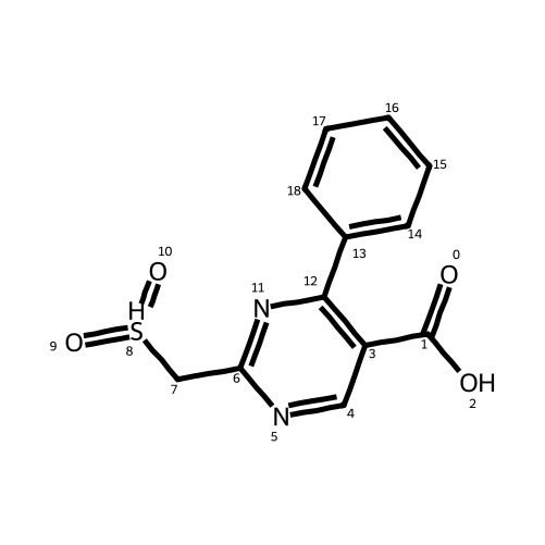 O=C(O)c1cnc(C[SH](=O)=O)nc1-c1ccccc1